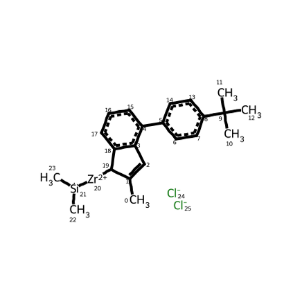 CC1=Cc2c(-c3ccc(C(C)(C)C)cc3)cccc2[CH]1[Zr+2][Si](C)C.[Cl-].[Cl-]